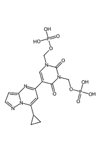 O=c1c(-c2cc(C3CC3)n3nccc3n2)cn(COP(=O)(O)O)c(=O)n1COP(=O)(O)O